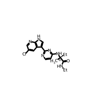 CCNC(=O)[C@@](C)(CC)Nc1ccnc(-c2c[nH]c3ncc(Cl)cc23)n1